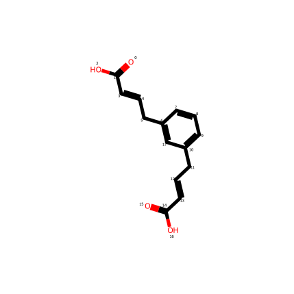 O=C(O)C=CCc1cccc(CC=CC(=O)O)c1